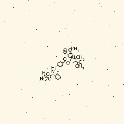 C=C(Cl)/C(C[C@H](OC(=O)c1ccc(CCNC(C(=O)O[C@H]2CN3CCC2CC3)c2ccccc2F)cc1)c1ccc(OC)c(OC)c1)=C(\C)Cl